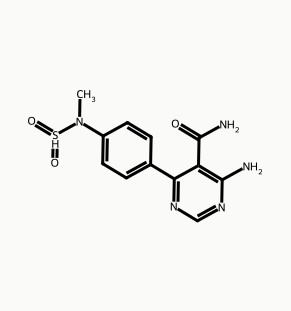 CN(c1ccc(-c2ncnc(N)c2C(N)=O)cc1)[SH](=O)=O